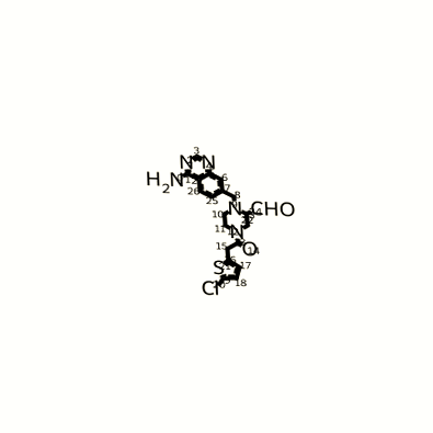 Nc1ncnc2cc(CN3CCN(C(=O)Cc4ccc(Cl)s4)CC3C=O)ccc12